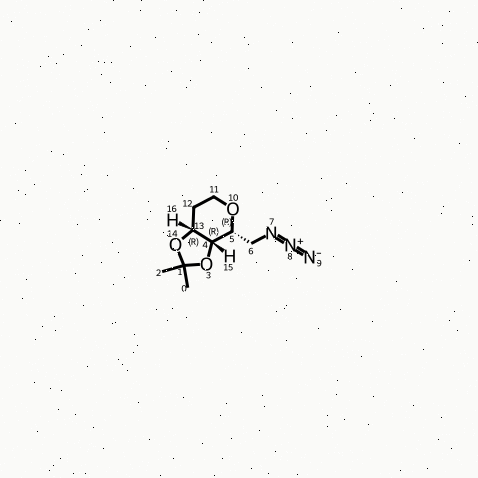 CC1(C)O[C@H]2[C@@H](CN=[N+]=[N-])OCC[C@H]2O1